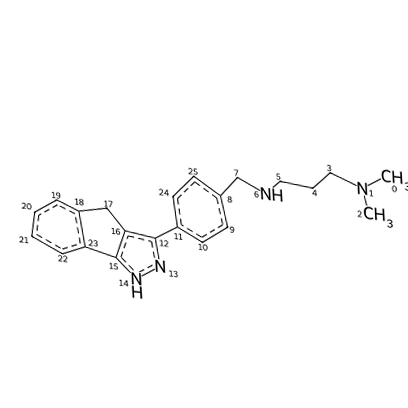 CN(C)CCCNCc1ccc(-c2n[nH]c3c2Cc2ccccc2-3)cc1